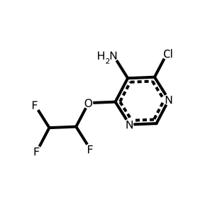 Nc1c(Cl)ncnc1OC(F)C(F)F